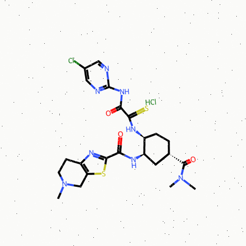 CN1CCc2nc(C(=O)N[C@@H]3C[C@@H](C(=O)N(C)C)CC[C@@H]3NC(=S)C(=O)Nc3ncc(Cl)cn3)sc2C1.Cl